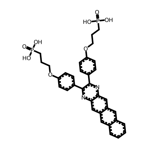 O=P(O)(O)CCCOc1ccc(-c2nc3cc4cc5ccccc5cc4cc3nc2-c2ccc(OCCCP(=O)(O)O)cc2)cc1